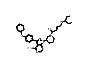 CCC(CC)NC/C=C/C(=O)N1CCCC(n2nc(-c3ccc(Oc4ccccc4)cc3)c3c(N)ncnc32)C1